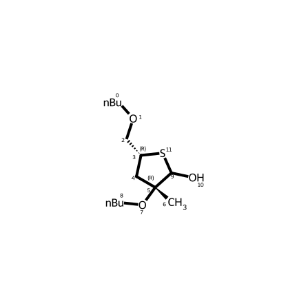 CCCCOC[C@H]1C[C@@](C)(OCCCC)C(O)S1